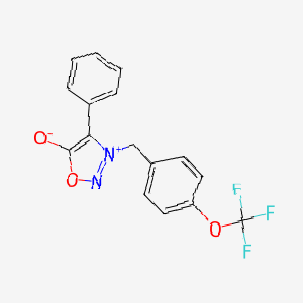 [O-]c1on[n+](Cc2ccc(OC(F)(F)F)cc2)c1-c1ccccc1